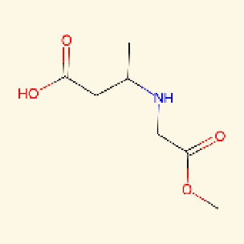 COC(=O)CNC(C)CC(=O)O